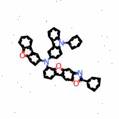 c1ccc(-c2nc3cc4oc5c(N(c6ccc7oc8ccccc8c7c6)c6ccc7c(c6)c6ccccc6n7-c6ccccc6)cccc5c4cc3o2)cc1